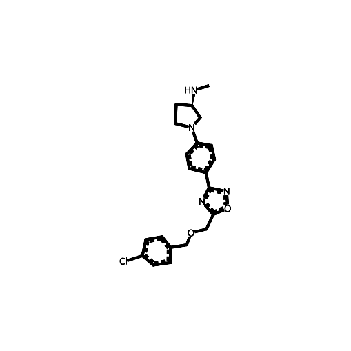 CN[C@@H]1CCN(c2ccc(-c3noc(COCc4ccc(Cl)cc4)n3)cc2)C1